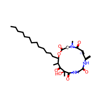 C=C1/C=C/C(=O)N(C)CC(=O)OC(CCCCCCCCCCCCC)C(C)C(=O)C(C)(O)C(=O)NCC(=O)N1